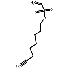 C#CCCCCCCOS(=O)(=O)C=C